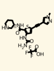 Cn1cc(C#Cc2cc(NC(N)=O)c(C(=O)N[C@H]3CCCNC3)s2)cn1.O=C(O)C(F)(F)F